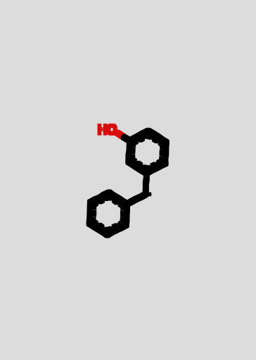 Oc1cccc([CH]c2ccccc2)c1